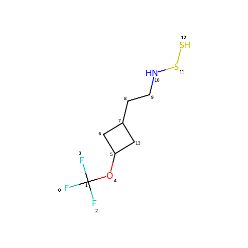 FC(F)(F)OC1CC(CCNSS)C1